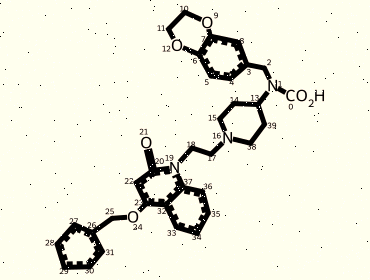 O=C(O)N(Cc1ccc2c(c1)OCCO2)C1CCN(CCn2c(=O)cc(OCc3ccccc3)c3ccccc32)CC1